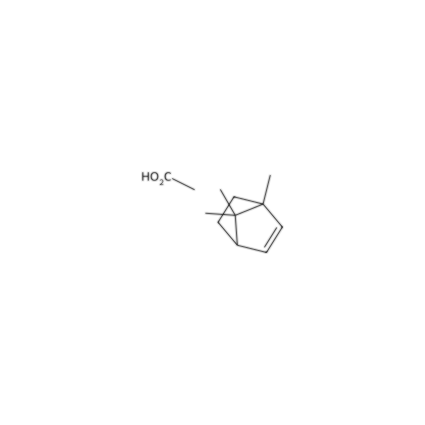 CC(=O)O.CC12C=CC(CC1)C2(C)C